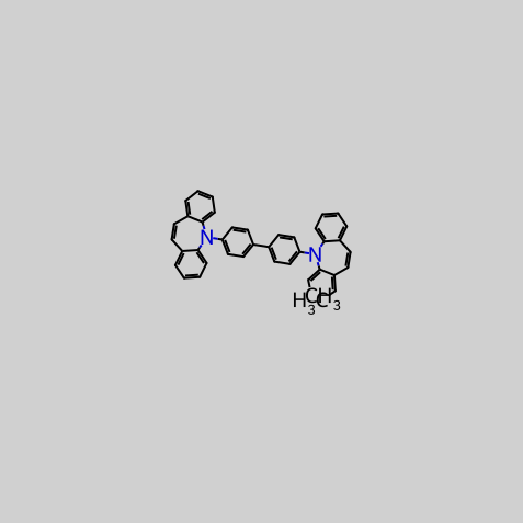 C/C=C1/C=Cc2ccccc2N(c2ccc(-c3ccc(N4c5ccccc5C=Cc5ccccc54)cc3)cc2)/C1=C/C